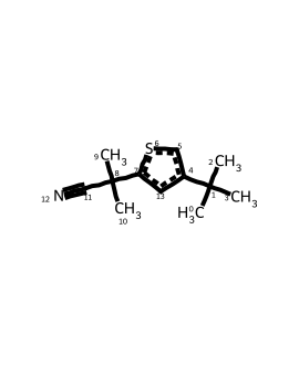 CC(C)(C)c1csc(C(C)(C)C#N)c1